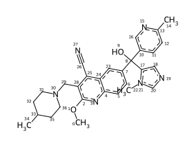 COc1nc2ccc(C(O)(c3ccc(C)nc3)c3cncn3C)cc2c(C#N)c1CN1CCC(C)CC1